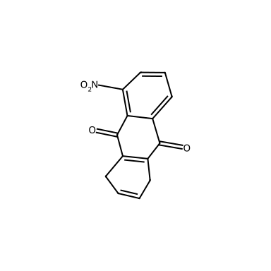 O=C1C2=C(CC=CC2)C(=O)c2c1cccc2[N+](=O)[O-]